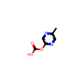 Cc1cnc(OC(=O)O)cn1